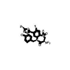 CC(C)c1nnc(-c2cc3c(cc2F)S(=O)(=O)C[C@H](N)C(=O)N3Cc2ccc(Cl)cc2)o1